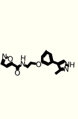 Cc1n[nH]cc1-c1c[c]cc(OCCNC(=O)c2ccno2)c1